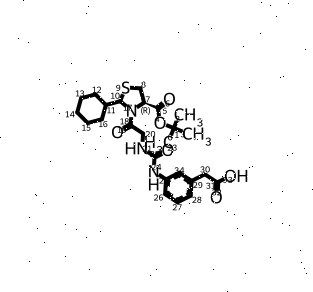 CC(C)(C)OC(=O)[C@@H]1CSC(C2CCCCC2)N1C(=O)CNC(=O)Nc1cccc(CC(=O)O)c1